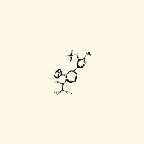 CC(C)C(O)C1=CCCC(c2cnc(N)c(OC(F)(F)F)c2)=CN1C1CC2CC1C2